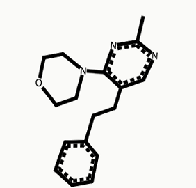 Cc1ncc(CCc2ccccc2)c(N2CCOCC2)n1